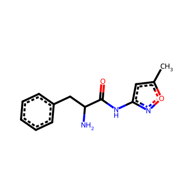 Cc1cc(NC(=O)C(N)Cc2ccccc2)no1